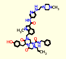 C=CCN1CC(=O)N2C(Cc3ccc(O)cc3)C(=O)N(Cc3cccc4c(C(=O)Nc5ccc(NCCN6CCN(C)CC6)nc5)cn(C)c34)CC2N1C(=O)NCc1ccccc1